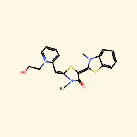 CCn1c(=O)/c(=C2\Sc3ccccc3N2C)s/c1=C\c1cccc[n+]1CCO